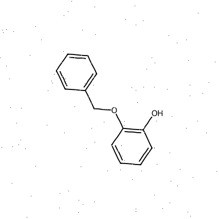 Oc1[c]cccc1OCc1ccccc1